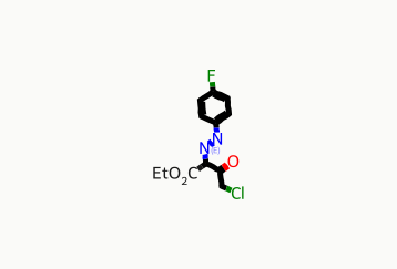 CCOC(=O)C(/N=N/c1ccc(F)cc1)C(=O)CCl